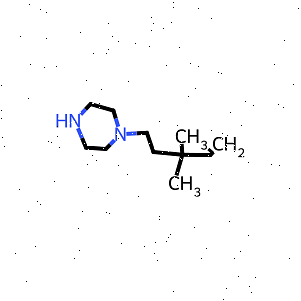 C=CC(C)(C)CCN1CCNCC1